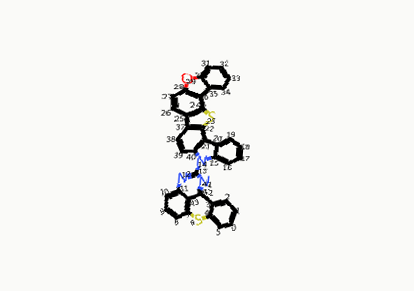 c1ccc2c(c1)Sc1cccc3nc(-n4c5ccccc5c5c6sc7c(ccc8oc9ccccc9c87)c6ccc54)nc-2c13